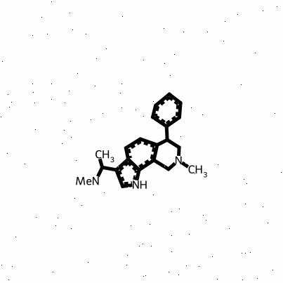 CNC(C)c1c[nH]c2c3c(ccc12)C(c1ccccc1)CN(C)C3